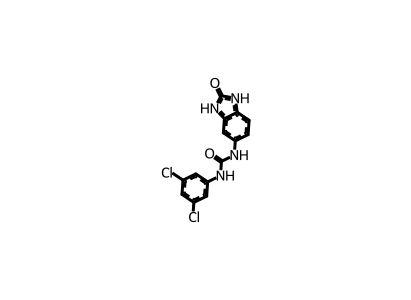 O=C(Nc1cc(Cl)cc(Cl)c1)Nc1ccc2[nH]c(=O)[nH]c2c1